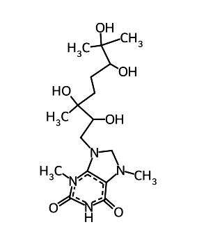 CN1CN(CC(O)C(C)(O)CCC(O)C(C)(C)O)c2c1c(=O)[nH]c(=O)n2C